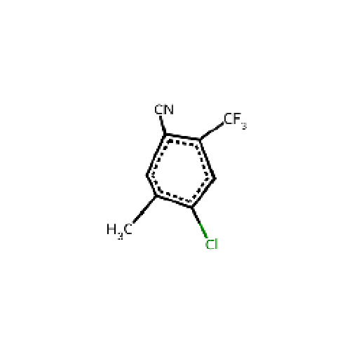 Cc1cc(C#N)c(C(F)(F)F)cc1Cl